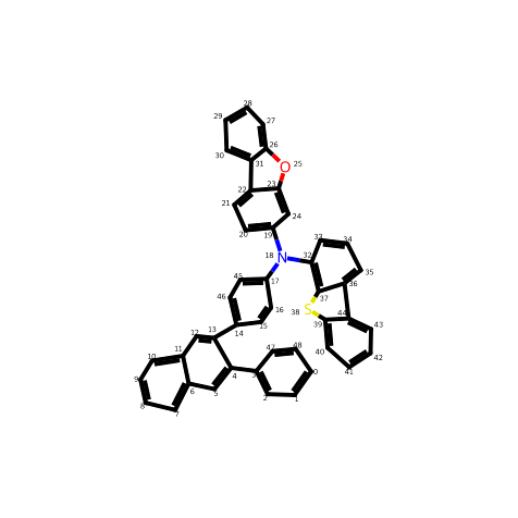 c1ccc(-c2cc3ccccc3cc2-c2ccc(N(c3ccc4c(c3)oc3ccccc34)c3cccc4c3sc3ccccc34)cc2)cc1